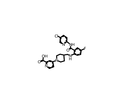 O=C(O)c1cc(N2CCC(CNc3ccc(F)cc3C(=O)Nc3ccc(Cl)cn3)CC2)ccn1